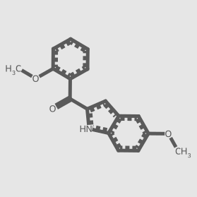 COc1ccc2[nH]c(C(=O)c3ccccc3OC)cc2c1